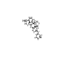 C[C@H]1CN2CCN(Cc3cccnc3)C[C@H]2C[C@@]1(C)c1cccc(O)c1